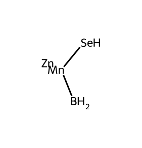 [BH2][Mn][SeH].[Zn]